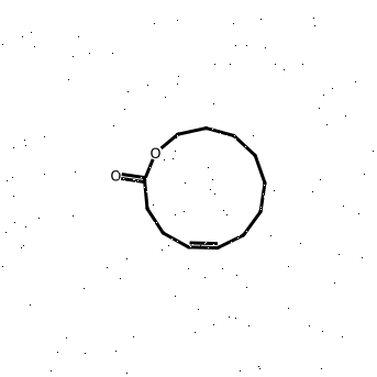 O=C1CC/C=C\CCCCCCCO1